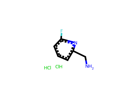 Cl.Cl.NCc1cccc(F)n1